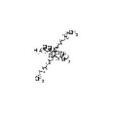 CCCCCCCCCCCC(OC(CCCCCCCCCCC)C(C)CC(C)C)C(C)CC(C)C